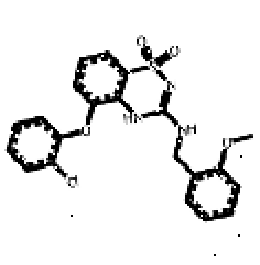 COc1ccccc1CNC1=NS(=O)(=O)c2cccc(Oc3ccccc3Cl)c2N1